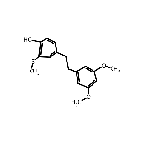 COc1cc(CCc2ccc(O)c(SC)c2)cc(OC)c1